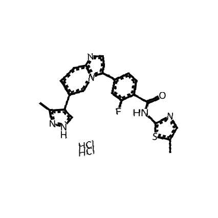 Cc1cnc(NC(=O)c2ccc(-c3cnc4ccc(-c5c[nH]nc5C)cn34)cc2F)s1.Cl.Cl